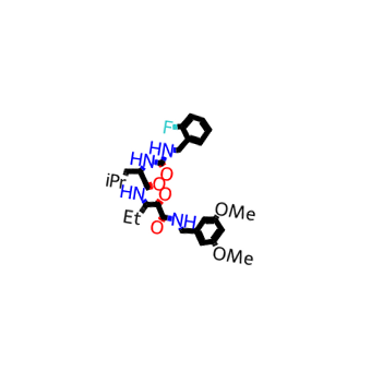 CCC(NC(=O)C(CC(C)C)NC(=O)NCc1ccccc1F)C(=O)C(=O)NCc1cc(OC)cc(OC)c1